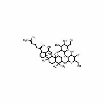 C=C(CCC=C(C)C)C1CCC2(C)C1C(O)CC1C3(C)CCC(OC4OC(CO)C(O)C(O)C4OC4OC(CO)C(O)C(O)C4O)C(C)(C)C3CCC12C